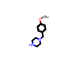 CCCCOc1ccc(CN2C[CH]NCC2)cc1